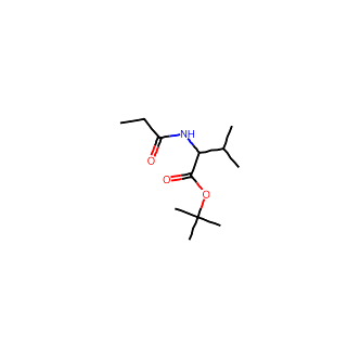 CCC(=O)NC(C(=O)OC(C)(C)C)C(C)C